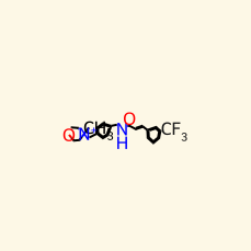 C[N+]1(Cc2ccc(CNC(=O)/C=C/c3cccc(C(F)(F)F)c3)cc2)CCOCC1